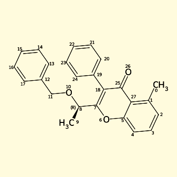 Cc1cccc2oc([C@@H](C)OCc3ccccc3)c(-c3ccccc3)c(=O)c12